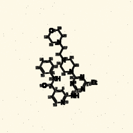 CCc1nc(Nc2cc(C(=O)Nc3ccccc3)ccn2)nc(N2CCN(CCN3CCOCC3)CC2)n1